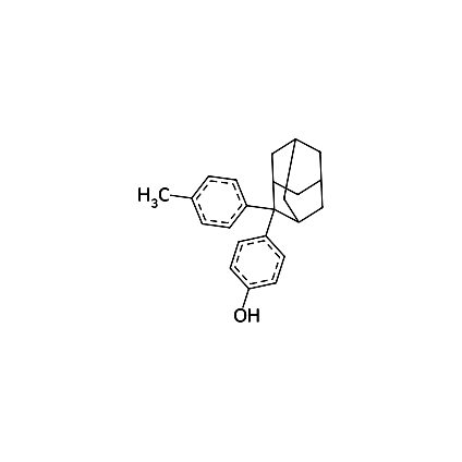 Cc1ccc(C2(c3ccc(O)cc3)C3CC4CC(C3)CC2C4)cc1